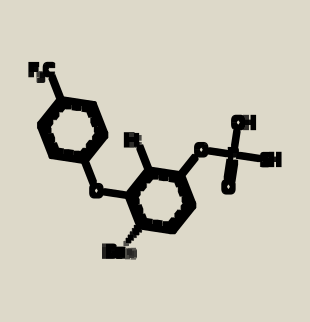 CCc1c(OP(=O)(O)S)ccc([C@@H](C)CC)c1Oc1ccc(C(F)(F)F)cc1